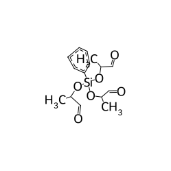 CC(C=O)O[Si](OC(C)C=O)(OC(C)C=O)c1ccccc1